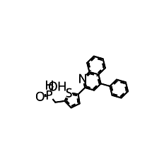 O=[PH](O)Cc1ccc(-c2cc(-c3ccccc3)c3ccccc3n2)s1